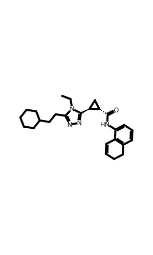 CCn1c(CCC2CCCCC2)nnc1[C@H]1C[C@@H]1C(=O)Nc1cccc2c1C=CCC2